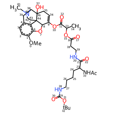 COc1ccc2c3c1OC1C(OC(=O)C(C)OC(=O)CCNC(=O)C(CCCCNC(=O)OC(C)(C)C)NC(C)=O)=CCC4(O)C(C2)N(C)CCC314